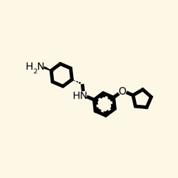 N[C@H]1CC[C@H](CNc2cccc(OC3CCCC3)c2)CC1